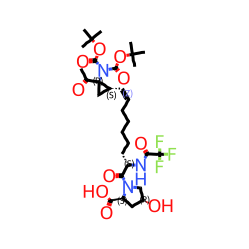 CC(=O)[C@@]1(N(C(=O)OC(C)(C)C)C(=O)OC(C)(C)C)C[C@H]1/C=C\CCCCC[C@H](NC(=O)C(F)(F)F)C(=O)N1C[C@H](O)C[C@H]1C(=O)O